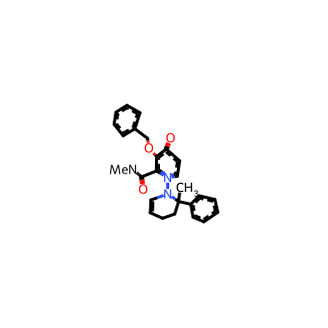 CNC(=O)c1c(OCc2ccccc2)c(=O)ccn1N1C=CCCC1(C)c1ccccc1